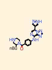 CCCCC1CNCCN1C(=O)c1ccc(Nc2ncc(-c3cn[nH]c3)n3ncnc23)cc1